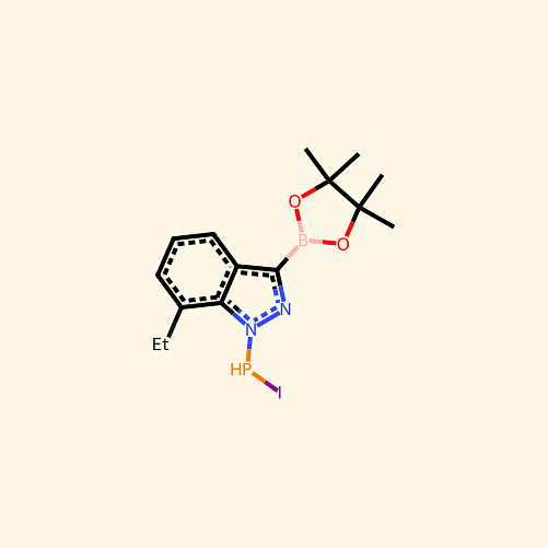 CCc1cccc2c(B3OC(C)(C)C(C)(C)O3)nn(PI)c12